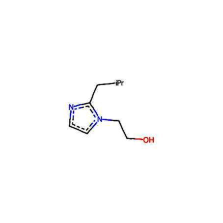 CC(C)Cc1nccn1CCO